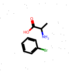 Brc1ccccc1.CC(N)C(=O)O